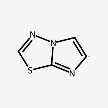 [c]1cn2ncsc2n1